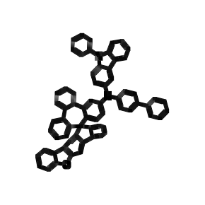 c1ccc(-c2ccc(N(c3ccc4c(c3)-c3ccccc3-c3ccccc3C43c4ccccc4-c4cc5oc6ccccc6c5cc43)c3ccc4c(c3)c3ccccc3n4-c3ccccc3)cc2)cc1